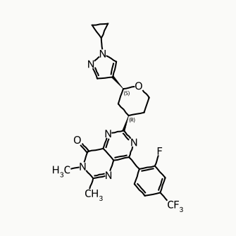 Cc1nc2c(-c3ccc(C(F)(F)F)cc3F)nc([C@@H]3CCO[C@H](c4cnn(C5CC5)c4)C3)nc2c(=O)n1C